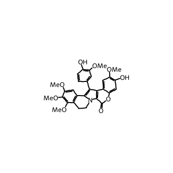 COc1cc(-c2c3n(c4c(=O)oc5cc(O)c(OC)cc5c24)CCc2c-3cc(OC)c(OC)c2OC)ccc1O